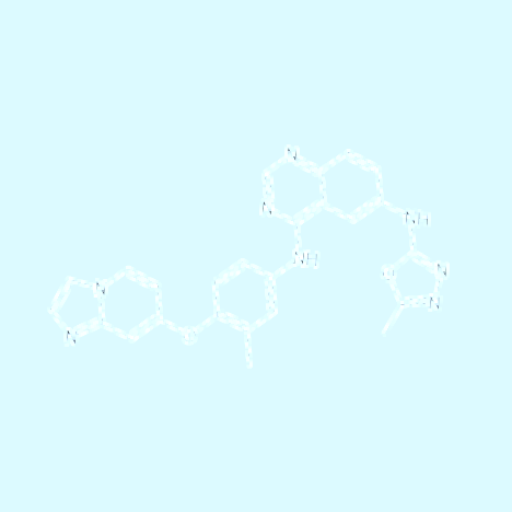 Cc1nnc(Nc2ccc3ncnc(Nc4ccc(Oc5ccn6ccnc6c5)c(C)c4)c3c2)o1